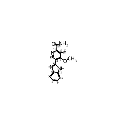 COc1c(-c2nc3ccccc3[nH]2)cnc(C(N)=O)c1F